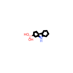 OB(O)c1ccc2c(c1)[nH]c1ccccc12